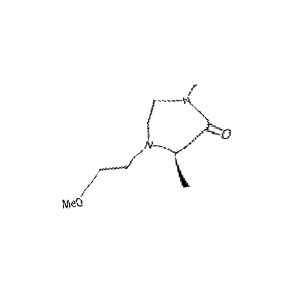 COCCN1CCN(C)C(=O)[C@H]1C